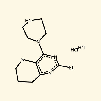 CCc1nc2c(c(N3CCNCC3)n1)SCCC2.Cl.Cl